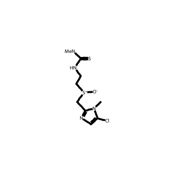 CNC(=S)NCC[S+]([O-])Cc1ncc(Cl)n1C